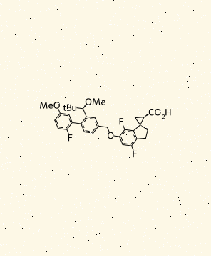 COc1ccc(F)c(-c2ccc(COc3cc(F)c4c(c3F)[C@]3(CC4)C[C@H]3C(=O)O)cc2[C@H](OC)C(C)(C)C)c1